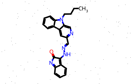 CCCCn1c2ccccc2c2cc(C=NNC3=c4ccccc4=NC3=O)ncc21